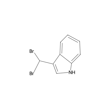 BrC(Br)c1c[nH]c2ccccc12